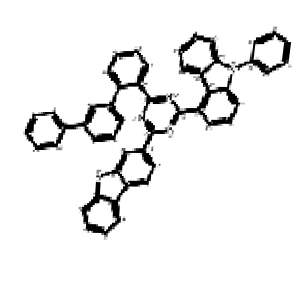 c1ccc(-c2cccc(-c3ccccc3-c3nc(-c4ccc5c(c4)sc4ccccc45)nc(-c4cccc5c4c4ccccc4n5-c4ccccc4)n3)c2)cc1